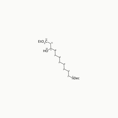 CCCCCCCCCCCCCCCCCCC(O)CC(=O)OCC